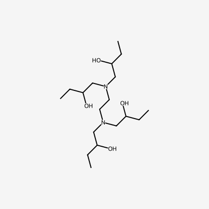 CCC(O)CN(CCN(CC(O)CC)CC(O)CC)CC(O)CC